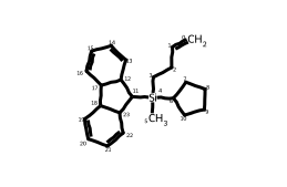 C=CCC[Si](C)(C1CCCC1)C1C2C=CC=CC2C2C=CC=CC21